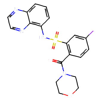 O=C(c1ccc(I)cc1S(=O)(=O)Nc1cccc2nccnc12)N1CCOCC1